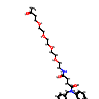 CC(=O)CCOCCOCCOCCOCCNC(=O)CCC(=O)N1Cc2ccccc2C#Cc2ccccc21